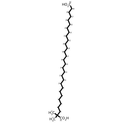 CC(C)(CCCCCCCCCCCCCCCCCCCCCCCCCCCC(=O)O)C(=O)O